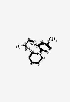 Cc1cnc(N2CCCCC2)c(N/C=C\C(C)N)c1